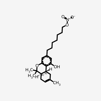 CC1=CC[C@@H]2[C@@H](C1)c1c(O)cc(CCCCCCCO[N+](=O)[O-])cc1OC2(C)C